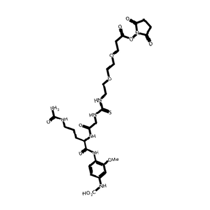 COc1cc(NC(=O)O)ccc1NC(=O)C(CCCNC(N)=O)NC(=O)CNC(=S)NCCOCCOCCC(=O)ON1C(=O)CCC1=O